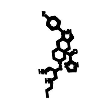 CCCN/C=C(\C=N)SN1CCC2=Cc3c(cnn3-c3ccc(F)cc3)CC2(C(=O)c2nccs2)C1